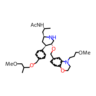 COCCCN1CCOc2ccc(CO[C@H]3CN[C@H](C[C@@H](C)NC(C)=O)C[C@@H]3c3ccc(COCC(C)COC)cc3)cc21